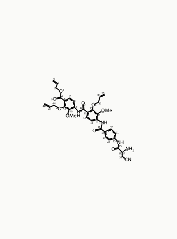 C=CCOC(=O)c1ccc(NC(=O)c2ccc(NC(=O)c3ccc(NC(=O)[C@@H](N)CC#N)cc3)c(OC)c2OCC=C)c(OC)c1OCC=C